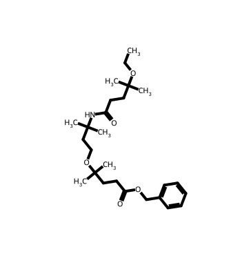 CCOC(C)(C)CCC(=O)NC(C)(C)CCOC(C)(C)CCC(=O)OCc1ccccc1